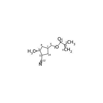 C=C(C)C(=O)OCC1CC(C)C(C#N)C1